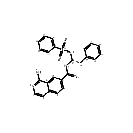 Nc1nccc2ccc(C(=O)N[C@@H](Cc3ccccc3)NS(=O)(=O)c3ccccc3)cc12